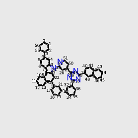 c1ccc(-c2ccc3c4c5ccccc5c(-c5ccccc5)cc4n(-c4cc(-c5nc(-c6ccccc6)nc(-c6ccc7ccccc7c6)n5)ccn4)c3c2)cc1